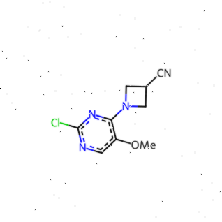 COc1cnc(Cl)nc1N1CC(C#N)C1